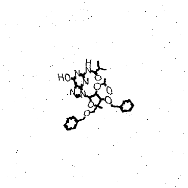 CC(=O)OC1C(n2cnc3c(O)nc(NC(=O)C(C)C)nc32)OC(C)(COCc2ccccc2)C1OCc1ccccc1